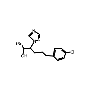 CC(C)(C)C(O)C(CCCc1ccc(Cl)cc1)n1cncn1